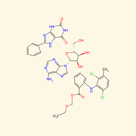 CCOCOC(=O)c1ccccc1Nc1c(Cl)ccc(C)c1Cl.Nc1ncnc2c1ncn2[C@@H]1O[C@H](CO)[C@@H](O)[C@H]1O.O=c1[nH]c(=O)c2[nH]c(-c3ccccc3)nc2[nH]1